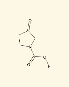 O=C1CCN(C(=O)OF)C1